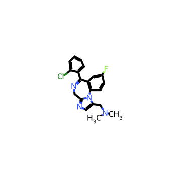 CN(C)Cc1cnc2n1-c1ccc(F)cc1C(c1ccccc1Cl)=NC2